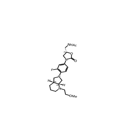 COCCN1CCC[C@@H]2CN(c3ccc(N4C[C@H](CNC(C)=O)OC4=O)cc3F)C[C@@H]21